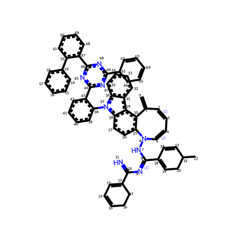 C=C1/C=C\C=C/N(N/C(=N\C(=N)C2=CC=CCC2)C2=CCC(C)C=C2)c2ccc3c(c21)c1ccccc1n3-c1ccccc1-c1nc(-c2ccccc2-c2ccccc2)nc(C2C=CC=CC2)n1